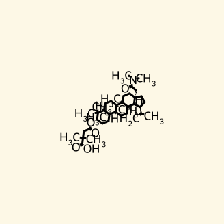 C=C(C)[C@@H]1CC[C@]2(CC(=O)N(C)C)CC[C@]3(C)[C@H](CC[C@@H]4[C@@]5(C)CC[C@H](OC(=O)CC(C)(C)C(=O)O)C(C)(C)[C@@H]5CC[C@]43C)[C@@H]12